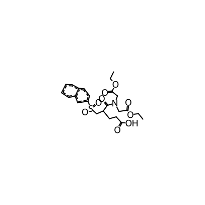 CCOC(=O)CN(CC(=O)OCC)C(=O)C(CCC(=O)O)CS(=O)(=O)c1ccc2ccccc2c1